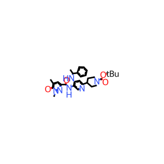 Cc1cc(C(=O)Nc2cnc(C3CCN(C(=O)OC(C)(C)C)CC3)cc2NC(C)c2ccccc2)nn(C)c1=O